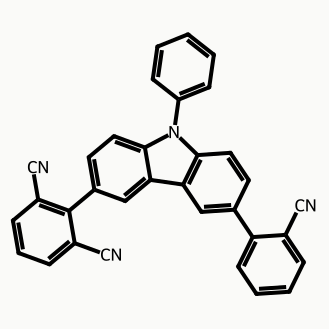 N#Cc1ccccc1-c1ccc2c(c1)c1cc(-c3c(C#N)cccc3C#N)ccc1n2-c1ccccc1